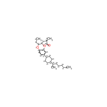 C=C1CC(C(CC)Oc2ccc(C3CCC(C(C)CCCCC)CC3)cc2)OC1=O